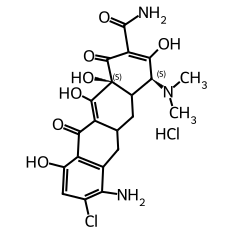 CN(C)[C@@H]1C(O)=C(C(N)=O)C(=O)[C@@]2(O)C(O)=C3C(=O)c4c(O)cc(Cl)c(N)c4CC3CC12.Cl